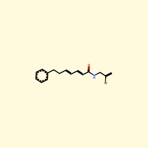 C=C(Br)CNC(=O)/C=C/C=C/CCc1ccccc1